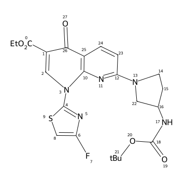 CCOC(=O)c1cn(-c2nc(F)cs2)c2nc(N3CCC(NC(=O)OC(C)(C)C)C3)ccc2c1=O